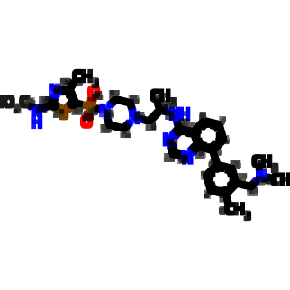 Cc1ccc(-c2cccc3c(NC(C)CN4CCN(S(=O)(=O)c5sc(NC(=O)O)nc5C)CC4)ncnc23)cc1CN(C)C